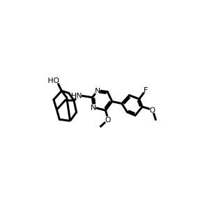 COc1ccc(-c2cnc(NC34CC5CC(CC(O)(C5)C3)C4)nc2OC)cc1F